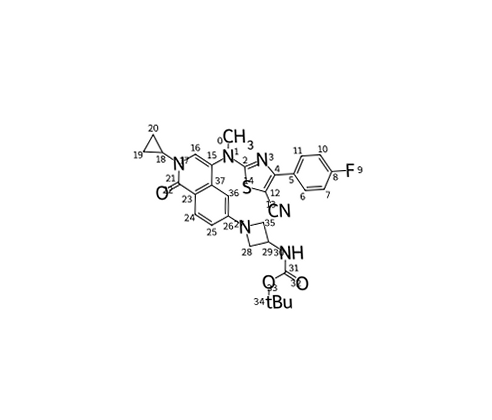 CN(c1nc(-c2ccc(F)cc2)c(C#N)s1)c1cn(C2CC2)c(=O)c2ccc(N3CC(NC(=O)OC(C)(C)C)C3)cc12